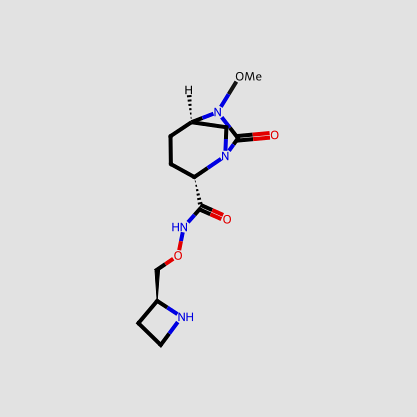 CON1C(=O)N2C[C@H]1CC[C@H]2C(=O)NOC[C@@H]1CCN1